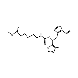 C=Cc1occc1CC(OC(=O)NCCCCCC(=O)OC)c1occc1C